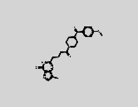 COc1ccc(C(=O)C2CCN(C(=O)CCCc3nc4c(C)csc4c(=O)[nH]3)CC2)cc1